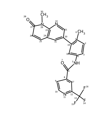 Cc1ccc(NC(=O)c2ccnc(C(F)(F)F)c2)cc1-c1cnc2c(ccc(=O)n2C)c1